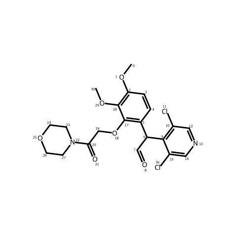 COc1ccc(C(C=O)c2c(Cl)cncc2Cl)c(OCC(=O)N2CCOCC2)c1OC